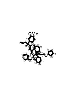 C=CCC1(C)/C(=C/C(=C/C2=[N+](Cc3cccnc3)c3ccccc3C2(CC)CCCOC2C=CC=C2)c2ccccc2)N(C)c2ccc(OC)cc21